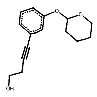 OCCC#Cc1cccc(OC2CCCCO2)c1